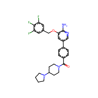 Nc1ncc(-c2ccc(C(=O)N3CCC(N4CCCC4)CC3)cc2)cc1OCc1cc(F)c(F)c(F)c1